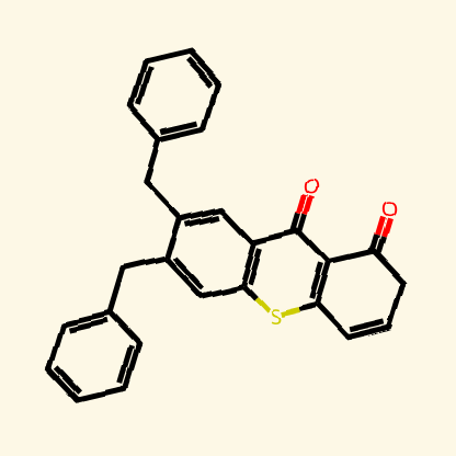 O=C1CC=Cc2sc3cc(Cc4ccccc4)c(Cc4ccccc4)cc3c(=O)c21